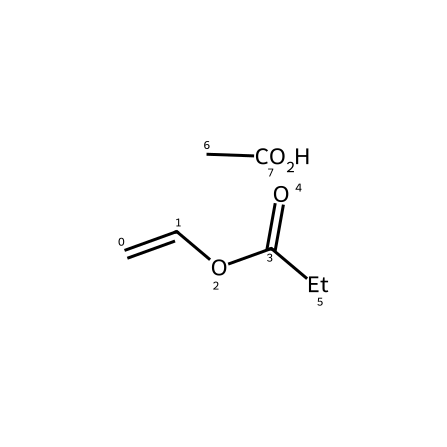 C=COC(=O)CC.CC(=O)O